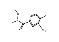 CON(C)C(=O)c1ccc(F)c(N)c1